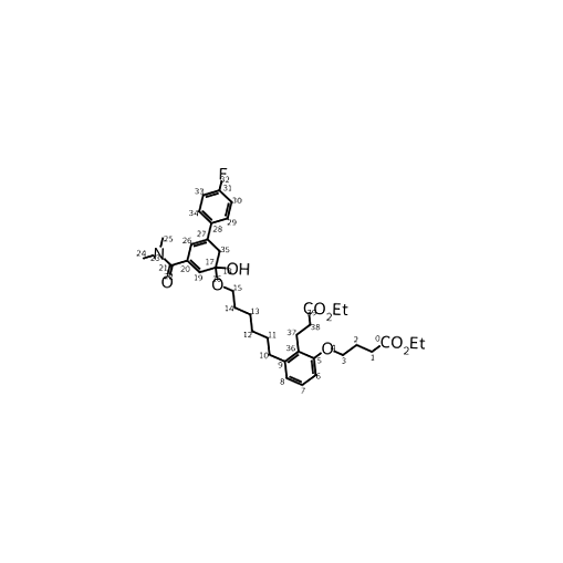 CCOC(=O)CCCOc1cccc(CCCCCCOC2(O)C=C(C(=O)N(C)C)C=C(c3ccc(F)cc3)C2)c1CCC(=O)OCC